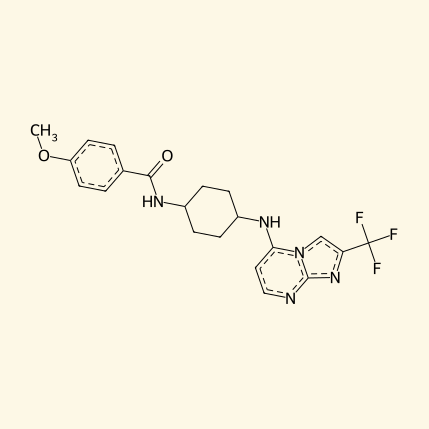 COc1ccc(C(=O)NC2CCC(Nc3ccnc4nc(C(F)(F)F)cn34)CC2)cc1